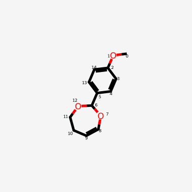 COc1ccc(C2OC=CCCO2)cc1